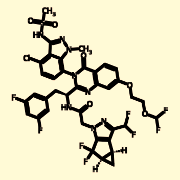 Cn1nc(NS(C)(=O)=O)c2c(Cl)ccc(-n3c([C@H](Cc4cc(F)cc(F)c4)NC(=O)Cn4nc(C(F)F)c5c4C(F)(F)[C@@H]4C[C@H]54)nc4cc(OCCOC(F)F)ccc4c3=O)c21